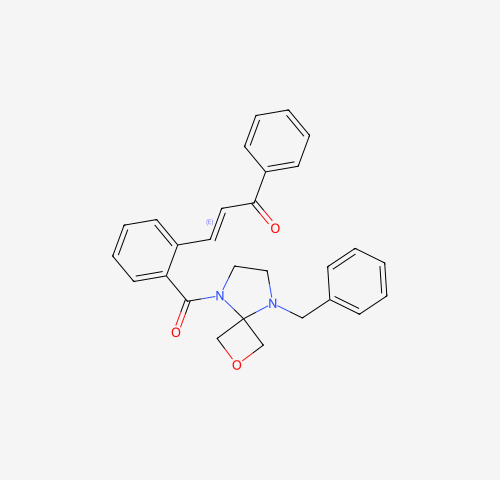 O=C(/C=C/c1ccccc1C(=O)N1CCN(Cc2ccccc2)C12COC2)c1ccccc1